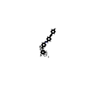 CC1CCC(C#CC2CCC(/C=C/C3CCC(C(F)(F)Oc4cc(F)c(C(F)(F)F)c(F)c4)CC3)CC2)CC1